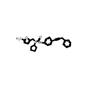 Cc1ccc(CN(C(=O)Nc2ccc(C#CCc3ccccc3)cc2)C2CCCC2)o1